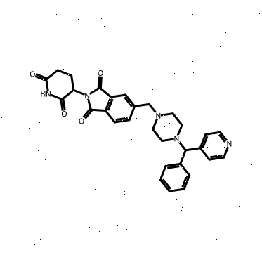 O=C1CCC(N2C(=O)c3ccc(CN4CCN(C(c5ccccc5)c5ccncc5)CC4)cc3C2=O)C(=O)N1